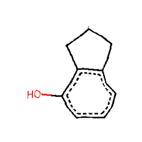 Oc1cccc2c1C[CH]C2